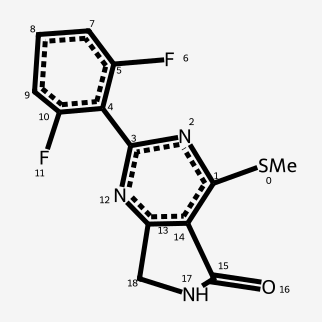 CSc1nc(-c2c(F)cccc2F)nc2c1C(=O)NC2